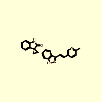 Cc1ccc(C=Cc2n[nH]c3cc([C@@H]4C[C@@]45C(=O)Nc4ccccc45)ccc23)cn1